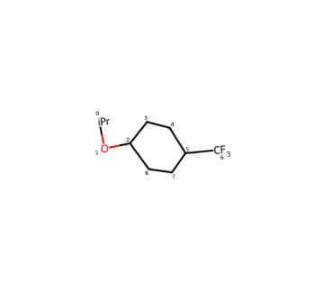 CC(C)OC1CCC(C(F)(F)F)CC1